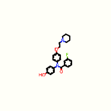 O=C(c1cccc(F)c1)N(c1ccc(O)cc1)c1ccc(OCCN2CCCCC2)cc1